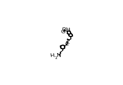 C=C(CCCc1cccc(CCCN)c1)Cc1ccc2ccc(C(=O)O)cc2c1